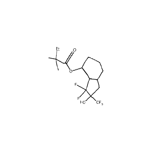 CCC(C)(C)C(=O)OC1CCCC2CC(O)(C(F)(F)F)C(F)(F)C21